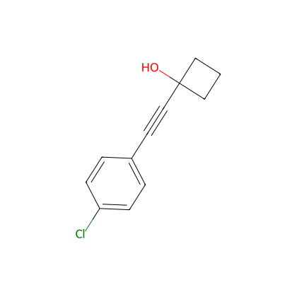 OC1(C#Cc2ccc(Cl)cc2)CCC1